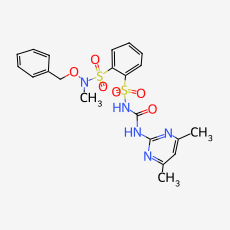 Cc1cc(C)nc(NC(=O)NS(=O)(=O)c2ccccc2S(=O)(=O)N(C)OCc2ccccc2)n1